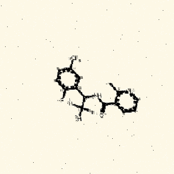 [2H]C([2H])([2H])C(NC(=O)c1cccnc1C)c1cc(C(F)(F)F)ccc1F